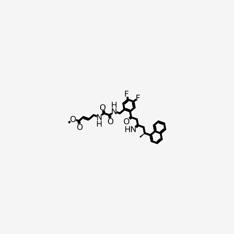 COC(=O)/C=C/CNC(=O)C(=O)NCc1cc(F)c(F)cc1C(=O)CC(=N)C[C@H](C)c1cccc2ccccc12